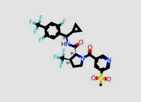 CS(=O)(=O)c1cncc(C(=O)N2CC[C@@H](C(F)(F)F)[C@@H]2C(=O)N[C@@H](c2cc(F)c(C(F)(F)F)cc2F)C2CC2)c1